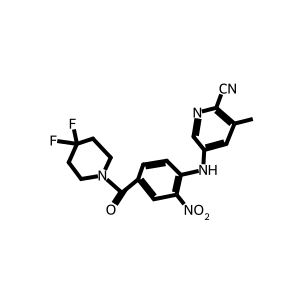 Cc1cc(Nc2ccc(C(=O)N3CCC(F)(F)CC3)cc2[N+](=O)[O-])cnc1C#N